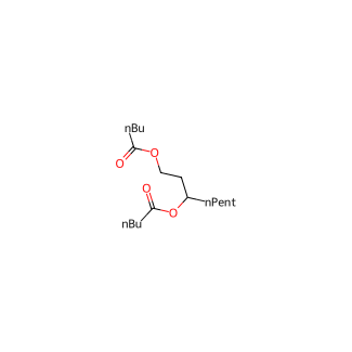 CCCCCC(CCOC(=O)CCCC)OC(=O)CCCC